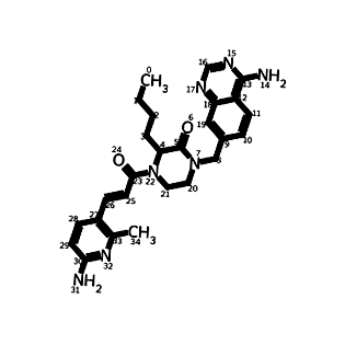 CCCCC1C(=O)N(Cc2ccc3c(N)ncnc3c2)CCN1C(=O)/C=C/c1ccc(N)nc1C